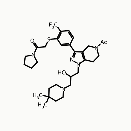 CC(=O)N1CCc2c(c(-c3ccc(C(F)(F)F)c(SCC(=O)N4CCCC4)c3)nn2CC(O)CN2CCC(C)(C)CC2)C1